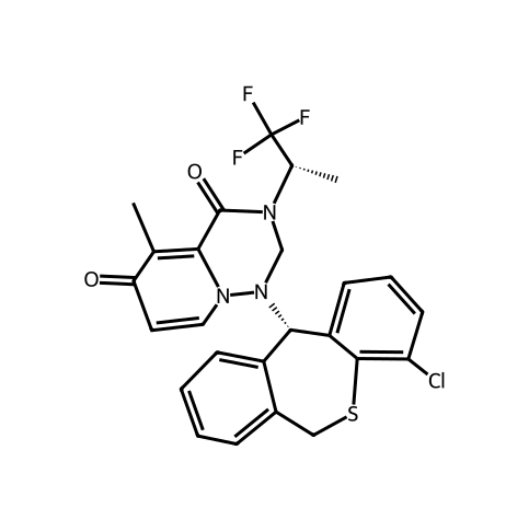 Cc1c2n(ccc1=O)N([C@H]1c3ccccc3CSc3c(Cl)cccc31)CN([C@@H](C)C(F)(F)F)C2=O